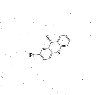 CC(C)c1ccc2sc3ccccc3c(=S)c2c1